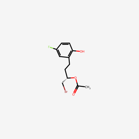 CC(=O)O[C@H](CBr)CCc1cc(F)ccc1O